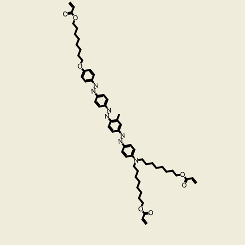 C=CC(=O)OCCCCCCCCOc1ccc(N=Nc2ccc(N=Nc3ccc(N=Nc4ccc(N(CCCCCCCCOC(=O)C=C)CCCCCCCCOC(=O)C=C)cc4)cc3C)cc2)cc1